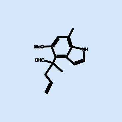 C=CCC(C)(C=O)c1c(OC)cc(C)c2[nH]ccc12